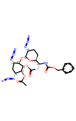 CC(=O)O[C@@H]1[C@@H](OC(C)=O)[C@H](N=[N+]=[N-])C[C@H](N=[N+]=[N-])[C@H]1O[C@H]1O[C@H]([C@@H](C)NC(=O)OCc2ccccc2)CC[C@H]1N=[N+]=[N-]